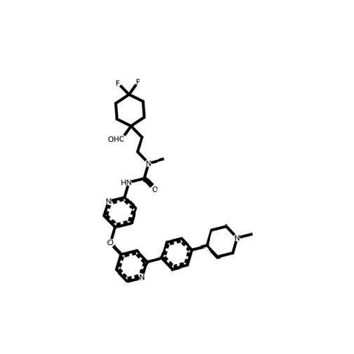 CN1CCC(c2ccc(-c3cc(Oc4ccc(NC(=O)N(C)CCC5(C=O)CCC(F)(F)CC5)nc4)ccn3)cc2)CC1